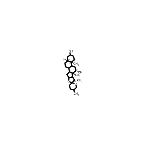 CC1CCC2(OC1)OC1CC3C4CC[C@@H]5CC(O)CC[C@]5(C)C4C[C@H](O)[C@]3(C)C1[C@@H]2C